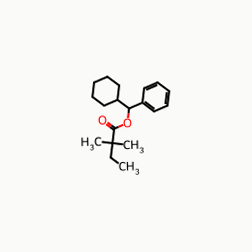 CCC(C)(C)C(=O)OC(c1ccccc1)C1CCCCC1